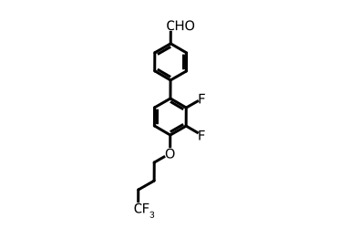 O=Cc1ccc(-c2ccc(OCCCC(F)(F)F)c(F)c2F)cc1